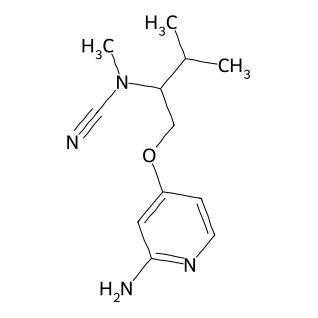 CC(C)C(COc1ccnc(N)c1)N(C)C#N